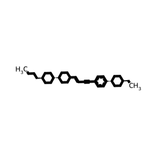 CCCC[C@H]1CC[C@H](C2CCC(/C=C/C#Cc3ccc([C@H]4CC[C@H](CC)CC4)cc3)CC2)CC1